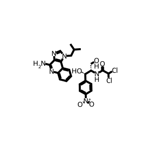 CC(C)Cn1cnc2c(N)nc3ccccc3c21.O=C(N[C@@H](CO)[C@@H](O)c1ccc([N+](=O)[O-])cc1)C(Cl)Cl